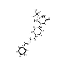 C=CCC(N[S+]([O-])C(C)(C)C)C1CCC(CCOCc2ccccc2)CC1